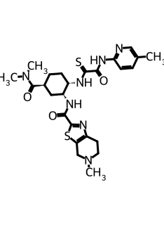 Cc1ccc(NC(=O)C(=S)N[C@H]2CC[C@H](C(=O)N(C)C)C[C@H]2NC(=O)c2nc3c(s2)CN(C)CC3)nc1